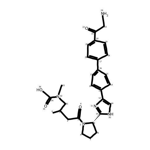 CC(CC(=O)N1CCC[C@H]1c1nc(-c2ccc(-c3ccc(C(=O)CN)cc3)cc2)c[nH]1)CN(C)C(=O)O